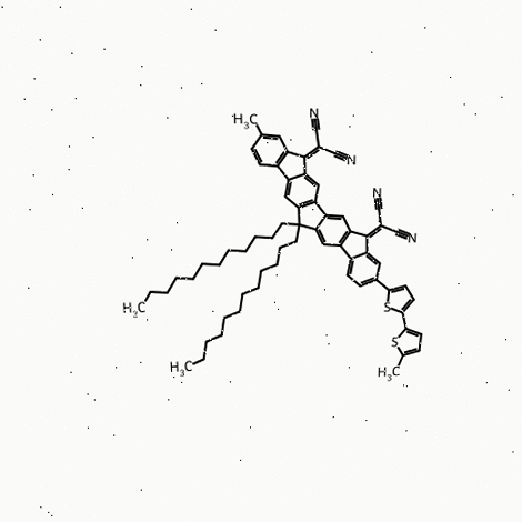 CCCCCCCCCCCCC1(CCCCCCCCCCCC)c2cc3c(cc2-c2cc4c(cc21)-c1ccc(-c2ccc(-c5ccc(C)s5)s2)cc1C4=C(C#N)C#N)C(=C(C#N)C#N)c1cc(C)ccc1-3